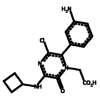 Nc1cccc(-c2c(Cl)nc(NC3CCC3)c(=O)n2CC(=O)O)c1